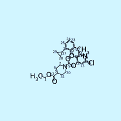 CCOC(=O)C1CCN(C(=O)Oc2cc(Cl)nnc2Oc2c(C)cccc2C2CC2)CC1